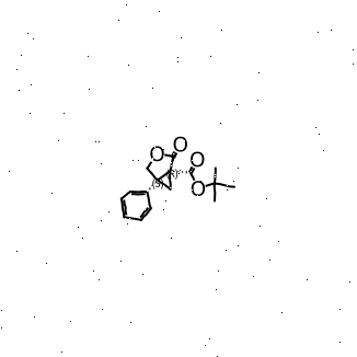 CC(C)(C)OC(=O)[C@]12C[C@@]1(c1ccccc1)COC2=O